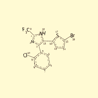 FC(F)(F)c1nc(-c2ccccc2Cl)c(-c2ccc(Br)s2)[nH]1